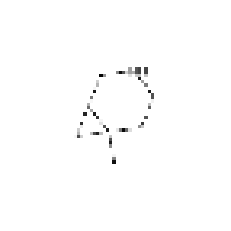 CC12CCNC[C]1C2